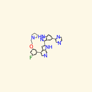 Fc1cc(OCCN2CCCC2)cc(-c2cncc3[nH]c(-c4n[nH]c5ccc(-c6cnccn6)cc45)cc23)c1